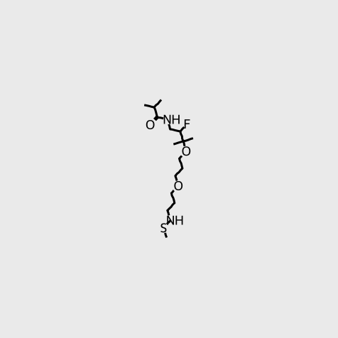 CSNCCCOCCCOC(C)(C)C(F)CNC(=O)C(C)C